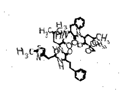 Cc1nc(CC(=O)NC(CCc2ccccc2)C(=O)NC(CC(C)C)C(=O)NC(Cc2ccccc2)C(=O)NC(CC(C)C)C(=O)C2(C)CO2)cs1